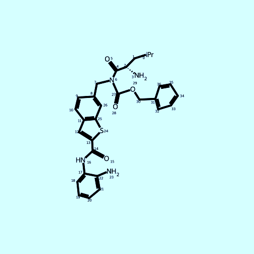 CC(C)C[C@H](N)C(=O)N(Cc1ccc2cc(C(=O)Nc3ccccc3N)sc2c1)C(=O)OCc1ccccc1